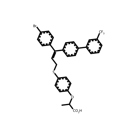 CC(Oc1ccc(SCC=C(c2ccc(Br)cc2)c2ccc(-c3cccc(C(F)(F)F)c3)cc2)cc1)C(=O)O